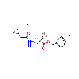 CC1(C(=O)OCc2ccccc2)CC(NC(=O)CC2CC2)C1